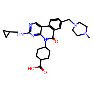 CN1CCN(Cc2ccc3c(c2)c(=O)n(C2CCC(C(=O)O)CC2)c2nc(NCC4CC4)ncc32)CC1